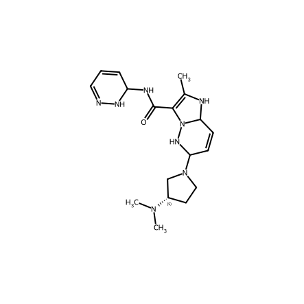 CC1=C(C(=O)NC2C=CC=NN2)N2NC(N3CC[C@H](N(C)C)C3)C=CC2N1